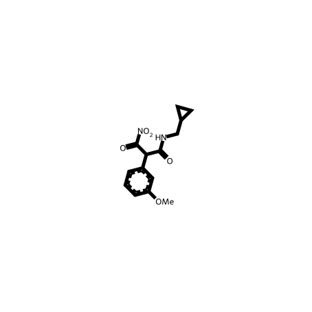 COc1cccc(C(C(=O)NCC2CC2)C(=O)[N+](=O)[O-])c1